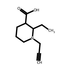 C#CCN1CCCC(C(=O)O)C1CC